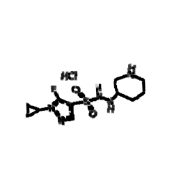 Cl.O=S(=O)(NNC1CCCNC1)c1cnn(C2CC2)c1F